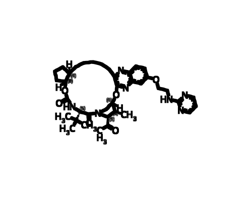 CC(=O)[C@@H]1[C@H](C)[C@@H]2CN1C(=O)[C@H](C(C)(C)C)NC(=O)O[C@@H]1CCC[C@H]1CCCCCc1nc3ccc(OCCNc4ncccn4)cc3nc1O2